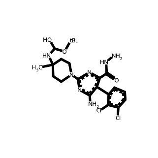 CC1(NC(O)OC(C)(C)C)CCN(c2nc(N)c(-c3cccc(Cl)c3Cl)c(C(=O)NN)n2)CC1